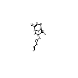 C=CCOCC1CC2CC(CC=C2C)C1C